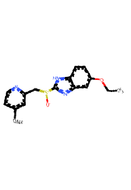 COc1ccnc(C[S+]([O-])c2nc3cc(OCC(F)(F)F)ccc3[nH]2)c1